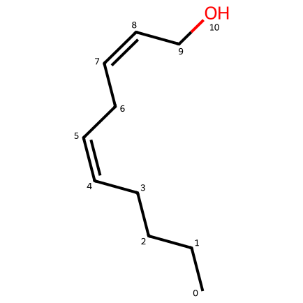 CCCC/C=C\C/C=C\CO